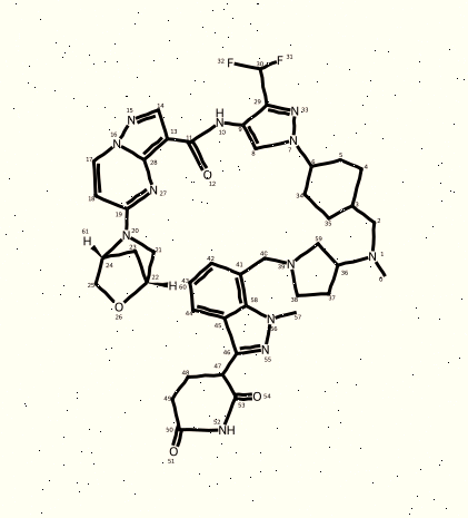 CN(CC1CCC(n2cc(NC(=O)c3cnn4ccc(N5C[C@H]6C[C@@H]5CO6)nc34)c(C(F)F)n2)CC1)C1CCN(Cc2cccc3c(C4CCC(=O)NC4=O)nn(C)c23)C1